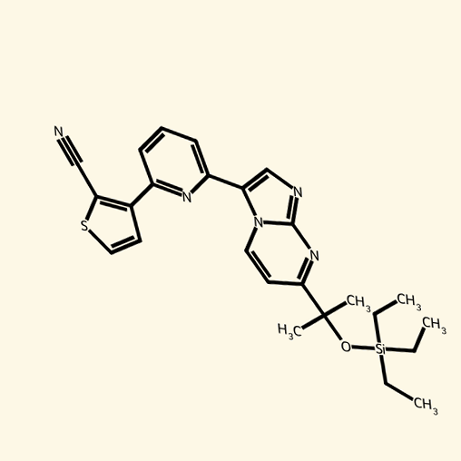 CC[Si](CC)(CC)OC(C)(C)c1ccn2c(-c3cccc(-c4ccsc4C#N)n3)cnc2n1